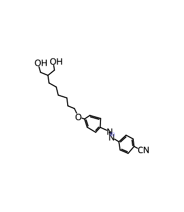 N#Cc1ccc(/N=N/c2ccc(OCCCCCCC(CO)CO)cc2)cc1